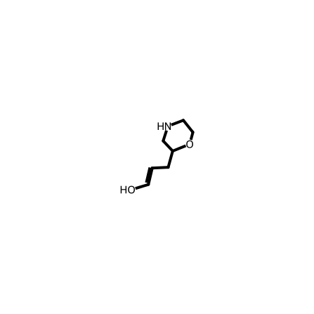 OC=CCC1CNCCO1